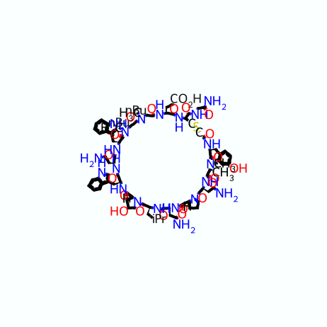 CCCC[C@H]1C(=O)N(C)[C@@H](CCCC)C(=O)N[C@@H](CCC(=O)O)C(=O)NC(C(=O)NCC(N)=O)CSCC(=O)N[C@@H](Cc2ccc(O)cc2)C(=O)N(C)[C@@H](C)C(=O)N[C@@H](CC(N)=O)C(=O)N2CCC[C@H]2C(=O)N[C@@H](CC(N)=O)C(=O)N[C@@H](CC(C)C)C(=O)N2C[C@H](O)C[C@H]2C(=O)N[C@@H](Cc2c[nH]c3ccccc23)C(=O)N[C@@H](CCN)C(=O)N[C@@H](Cc2c[nH]c3ccccc23)C(=O)N1C